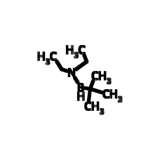 CCN(BC(C)(C)C)CC